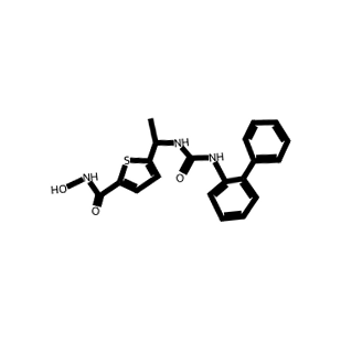 CC(NC(=O)Nc1ccccc1-c1ccccc1)c1ccc(C(=O)NO)s1